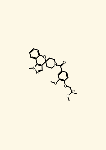 COc1cc(C(=O)N2CCC3(CC2)Oc2ccccc2-c2c3cnn2C)ccc1OC[C@@H](C)OC